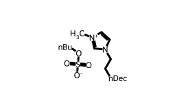 CCCCCCCCCCCCn1cc[n+](C)c1.CCCCOS(=O)(=O)[O-]